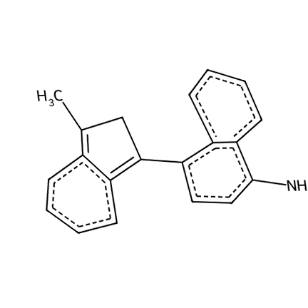 CC1=c2ccccc2=C(c2ccc(N)c3ccccc23)C1